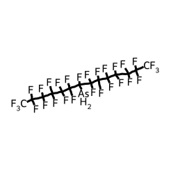 FC(F)(F)C(F)(F)C(F)(F)C(F)(F)C(F)(F)C(F)(F)C(F)(F)C(F)([AsH2])C(F)(F)C(F)(F)C(F)(F)C(F)(F)C(F)(F)C(F)(F)F